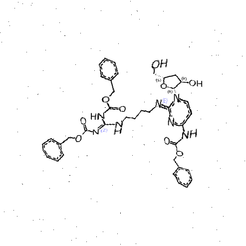 O=C(/N=C(/NCCCC/N=c1\nc(NC(=O)OCc2ccccc2)ccn1[C@@H]1O[C@H](CO)C[C@H]1O)NC(=O)OCc1ccccc1)OCc1ccccc1